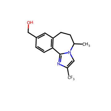 CC1CCc2cc(CO)ccc2-c2nc(C(F)(F)F)cn21